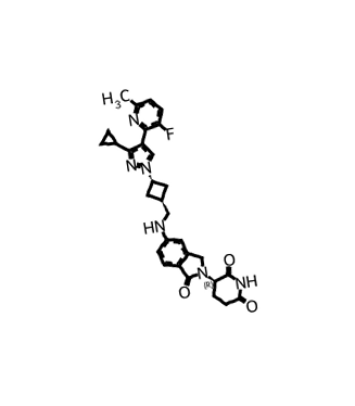 Cc1ccc(F)c(-c2cn([C@H]3C[C@H](CNc4ccc5c(c4)CN([C@@H]4CCC(=O)NC4=O)C5=O)C3)nc2C2CC2)n1